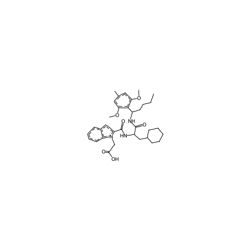 CCCCC(NC(=O)C(CC1CCCCC1)NC(=O)c1cc2ccccc2n1CC(=O)O)c1c(OC)cc(C)cc1OC